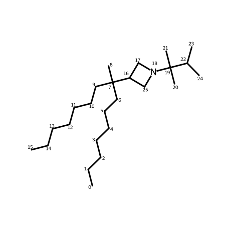 CCCCCCCC(C)(CCCCCCC)C1CN(C(C)(C)C(C)C)C1